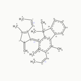 C=C1CC(C)=C(/C=C\C)/C1=c1\c2c(c(C)c(/C=C\C)c1=C)-c1ccccc1[Si]2(C)C